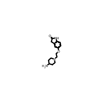 NC1CCN(CCOc2ccc3c(c2)CC(=O)N3)CC1